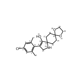 Cc1cc(Cl)cc(C)c1C1=C(O)C2(CCC3(CC2)OCCO3)NC1